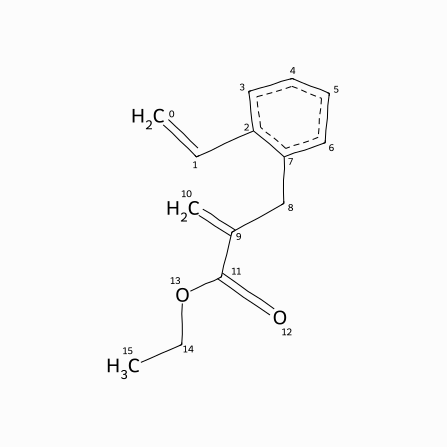 C=Cc1ccccc1CC(=C)C(=O)OCC